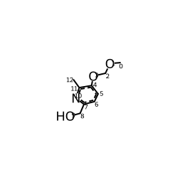 COCOc1ccc(CO)nc1C